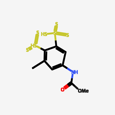 COC(=O)Nc1cc(C)c([SH](=S)=S)c(S(=S)(=S)S)c1